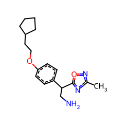 Cc1noc(C(CN)c2ccc(OCCC3CCCC3)cc2)n1